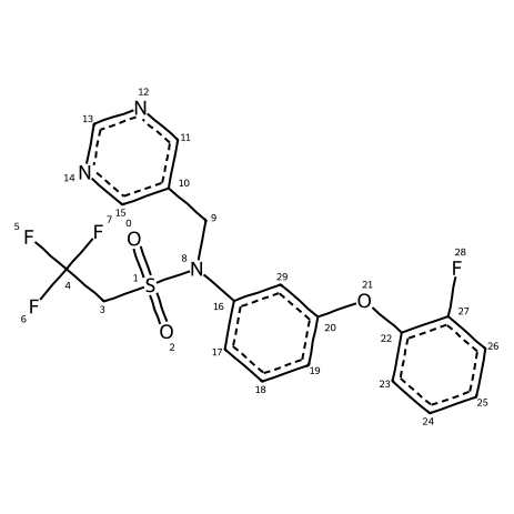 O=S(=O)(CC(F)(F)F)N(Cc1cncnc1)c1cccc(Oc2ccccc2F)c1